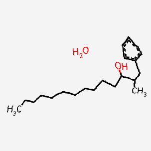 CCCCCCCCCCCC(O)C(C)Cc1ccccc1.O